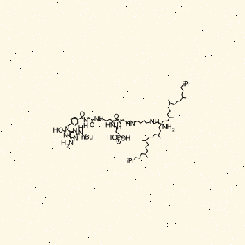 CCCCNc1nc(N)c2nc(O)n(Cc3ccc(C(=O)NCC(=O)NCCCC[C@H](NCCCP(=O)(O)O)C(=O)NCCCNCCCCNCCC(N)(CCC(C)CCCC(C)CCCC(C)CCCC(C)C)CCC(C)CCCC(C)CCCC(C)CCCC(C)C)cc3)c2n1